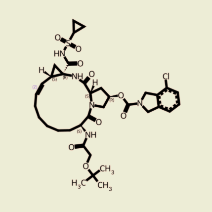 CC(C)(C)OCC(=O)N[C@H]1CCCCC/C=C\[C@@H]2C[C@@]2(C(=O)NS(=O)(=O)C2CC2)NC(=O)[C@@H]2C[C@@H](OC(=O)N3Cc4cccc(Cl)c4C3)CN2C1=O